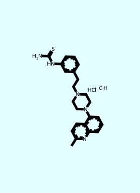 Cc1ccc2c(N3CCN(CCc4cccc(NC(N)=S)c4)CC3)cccc2n1.Cl.Cl